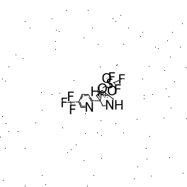 O=S(=O)(O[C@@H]1C2CCC1(c1ccc(C(F)(F)F)cn1)CNC2)C(F)(F)F